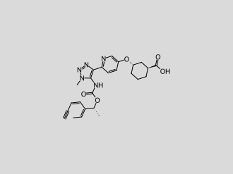 C#C/C=C\C(=C/C)[C@@H](C)OC(=O)Nc1c(-c2ccc(O[C@H]3CCC[C@H](C(=O)O)C3)cn2)nnn1C